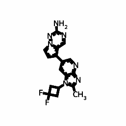 Cc1nc2ncc(-c3ccn4nc(N)ncc34)cc2n1C1CC(F)(F)C1